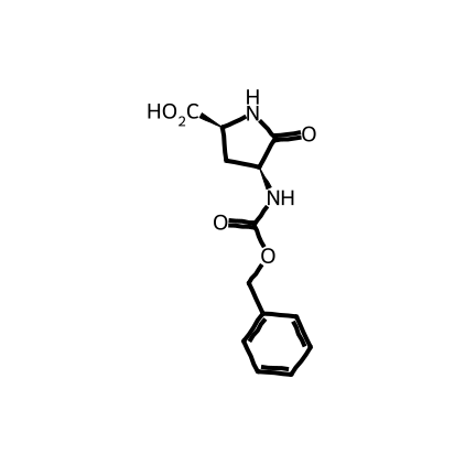 O=C(N[C@H]1C[C@@H](C(=O)O)NC1=O)OCc1ccccc1